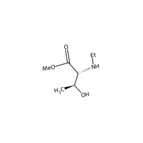 CCN[C@@H](C(=O)OC)[C@H](C)O